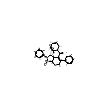 O=C1C2=C(c3ccccc3)CCC3[N+](=O)N(c4ccccc4)CC23CC23C=NN=C2C=CCC13